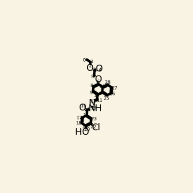 CCOC(=O)COc1ccc(C=NNC(=O)c2ccc(O)c(Cl)c2)c2ccccc12